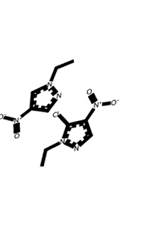 CCn1cc([N+](=O)[O-])cn1.CCn1ncc([N+](=O)[O-])c1Cl